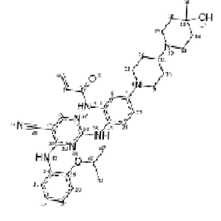 C=CC(=O)Nc1cc(N2CCC(N3CCC(C)(O)CC3)CC2)ccc1Nc1ncc(C#N)c(Nc2ccccc2OC(C)C)n1